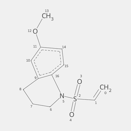 C=CS(=O)(=O)N1CCCc2cc(OC)ccc21